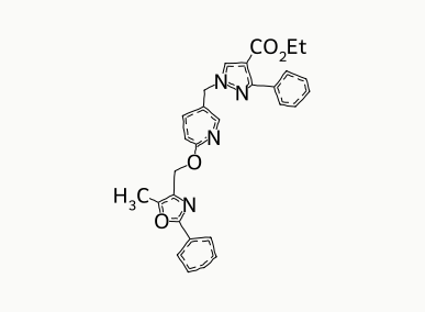 CCOC(=O)c1cn(Cc2ccc(OCc3nc(-c4ccccc4)oc3C)nc2)nc1-c1ccccc1